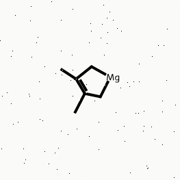 CC1=C(C)[CH2][Mg][CH2]1